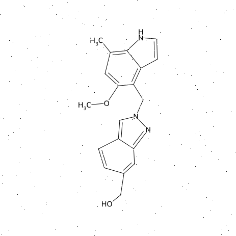 COc1cc(C)c2[nH]ccc2c1Cn1cc2ccc(CO)cc2n1